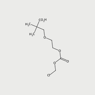 CC(C)(COCCOC(=O)OCCl)C(=O)O